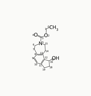 CCOC(=O)N1CCc2ccc3c(c2CC1)C(O)CC3